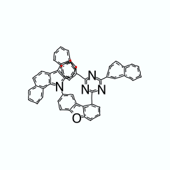 c1ccc2cc(-c3nc(-c4ccc5ccccc5c4)nc(-c4cccc5oc6ccc(-n7c8ccccc8c8ccc9ccccc9c87)cc6c45)n3)ccc2c1